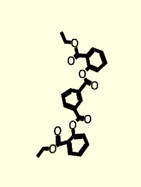 CCOC(=O)c1ccccc1OC(=O)c1cccc(C(=O)Oc2ccccc2C(=O)OCC)c1